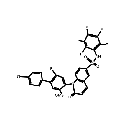 COc1cc(-c2ccc(Cl)cc2)c(F)cc1-n1c(=O)ccc2cc(S(=O)(=O)Nc3c(F)c(F)c(F)c(F)c3F)ccc21